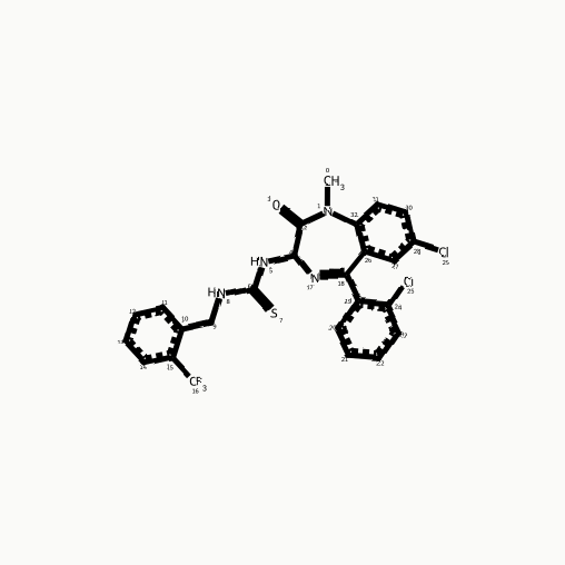 CN1C(=O)C(NC(=S)NCc2ccccc2C(F)(F)F)N=C(c2ccccc2Cl)c2cc(Cl)ccc21